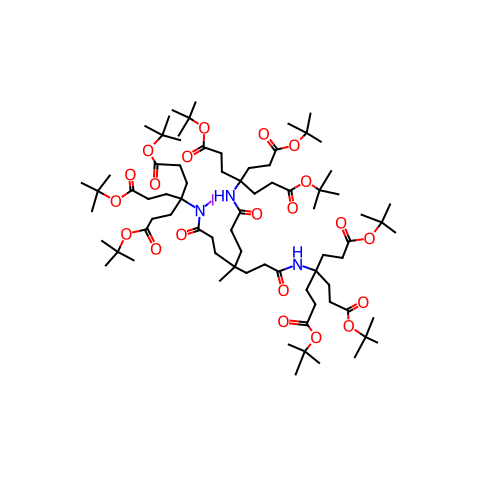 CC(CCC(=O)NC(CCC(=O)OC(C)(C)C)(CCC(=O)OC(C)(C)C)CCC(=O)OC(C)(C)C)(CCC(=O)NC(CCC(=O)OC(C)(C)C)(CCC(=O)OC(C)(C)C)CCC(=O)OC(C)(C)C)CCC(=O)N(I)C(CCC(=O)OC(C)(C)C)(CCC(=O)OC(C)(C)C)CCC(=O)OC(C)(C)C